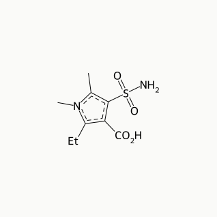 CCc1c(C(=O)O)c(S(N)(=O)=O)c(C)n1C